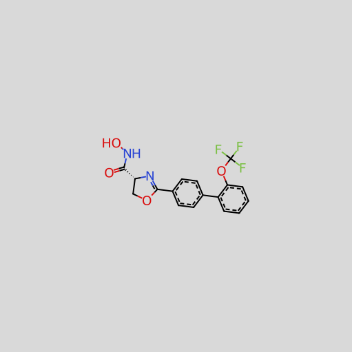 O=C(NO)[C@H]1COC(c2ccc(-c3ccccc3OC(F)(F)F)cc2)=N1